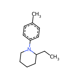 CCC1CCCCN1c1ccc(C)cc1